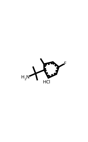 Cc1cc(F)ccc1C(C)(C)N.Cl